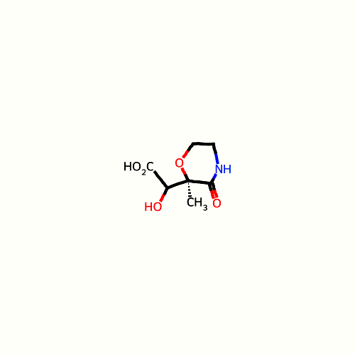 C[C@]1(C(O)C(=O)O)OCCNC1=O